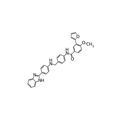 COc1ccc(C(=O)Nc2ccc(CNc3ccc(-c4nc5ccccc5[nH]4)cc3)cc2)cc1-c1ccco1